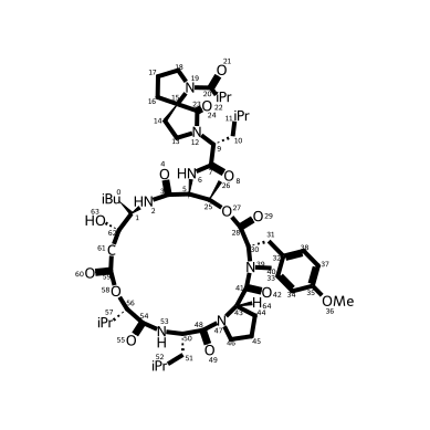 CC[C@H](C)[C@H]1NC(=O)[C@@H](NC(=O)[C@@H](CC(C)C)N2CC[C@]3(CCCN3C(=O)C(C)C)C2=O)[C@@H](C)OC(=O)[C@H](Cc2ccc(OC)cc2)N(C)C(=O)[C@@H]2CCCN2C(=O)[C@H](CC(C)C)NC(=O)[C@H](C(C)C)OC(=O)C[C@@H]1O